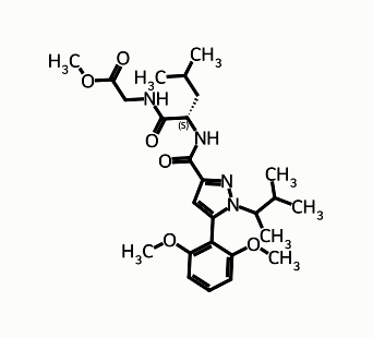 COC(=O)CNC(=O)[C@H](CC(C)C)NC(=O)c1cc(-c2c(OC)cccc2OC)n(C(C)C(C)C)n1